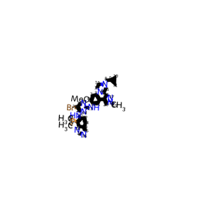 COc1cc(N2CCN(CC3CC3)CC2)c(-c2cnn(C)c2)cc1Nc1ncc(Br)c(Nc2ccc3cncnc3c2P(C)C)n1